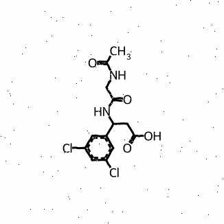 CC(=O)NCC(=O)NC(CC(=O)O)c1cc(Cl)cc(Cl)c1